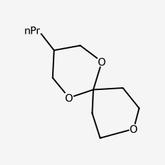 CCCC1COC2(CCOCC2)OC1